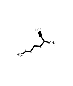 C#CC([CH2])CCCCC